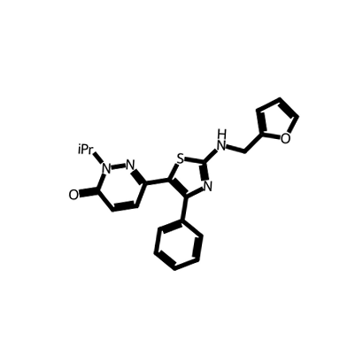 CC(C)n1nc(-c2sc(NCc3ccco3)nc2-c2ccccc2)ccc1=O